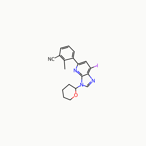 Cc1c(C#N)cccc1-c1cc(I)c2ncn(C3CCCCO3)c2n1